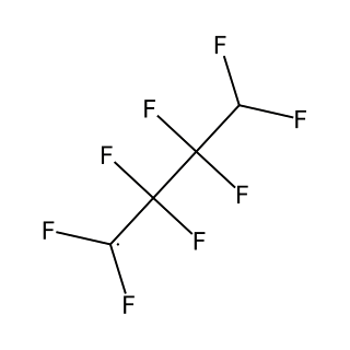 F[C](F)C(F)(F)C(F)(F)C(F)F